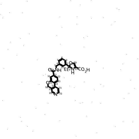 CCC1(c2cccc(CNC(=O)c3ccc4c(c3)OCc3cnccc3-4)c2)NC(C(=O)O)=CO1